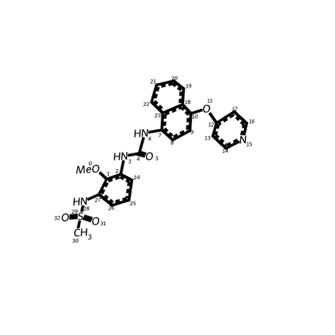 COc1c(NC(=O)Nc2ccc(Oc3ccncc3)c3ccccc23)cccc1NS(C)(=O)=O